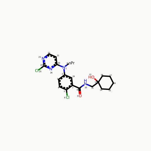 CCCN(c1ccc(Cl)c(C(=O)NCC2(O)CCCCC2)c1)c1ccnc(Cl)n1